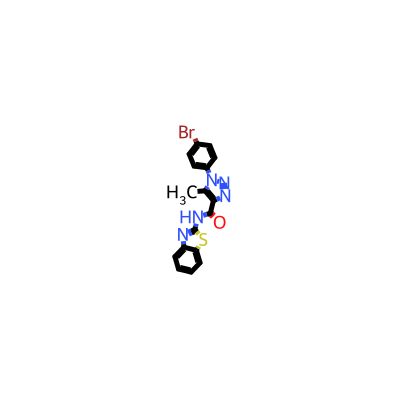 Cc1c(C(=O)Nc2nc3ccccc3s2)nnn1-c1ccc(Br)cc1